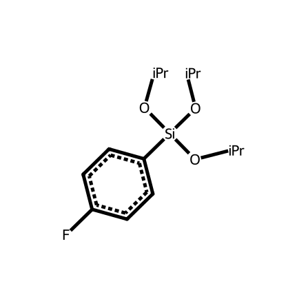 CC(C)O[Si](OC(C)C)(OC(C)C)c1ccc(F)cc1